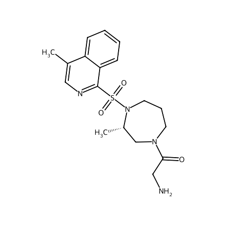 Cc1cnc(S(=O)(=O)N2CCCN(C(=O)CN)C[C@@H]2C)c2ccccc12